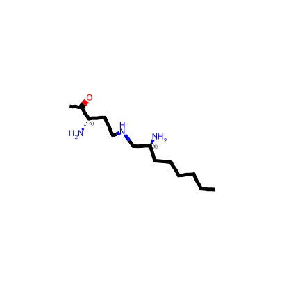 CCCCCC[C@H](N)CNCC[C@H](N)C(C)=O